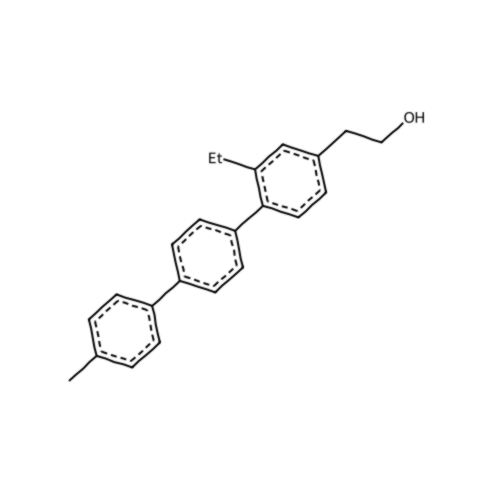 CCc1cc(CCO)ccc1-c1ccc(-c2ccc(C)cc2)cc1